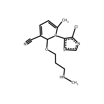 CNCCCOC1C(C#N)=CC=C(C)N1c1scnc1Cl